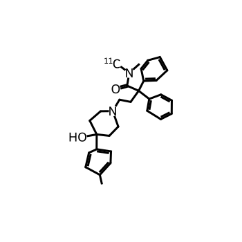 Cc1ccc(C2(O)CCN(CCC(C(=O)N(C)[11CH3])(c3ccccc3)c3ccccc3)CC2)cc1